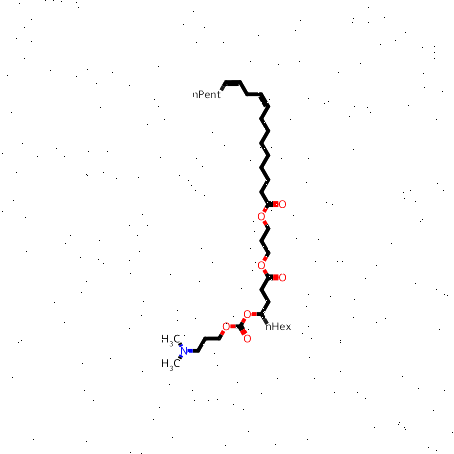 CCCCC/C=C\C/C=C\CCCCCCCC(=O)OCCCOC(=O)CCC(CCCCCC)OC(=O)OCCCN(C)C